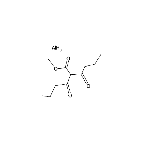 CCCC(=O)C(C(=O)CCC)C(=O)OC.[AlH3]